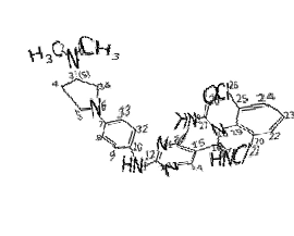 CN(C)[C@H]1CCN(c2ccc(Nc3ncc4c(=N)n(-c5c(Cl)cccc5Cl)c(=O)[nH]c4n3)cc2)C1